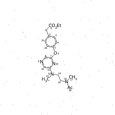 CCOC(=O)Cc1ccc(Oc2cncc(N(C)CCN(C)C(C)=O)n2)cc1